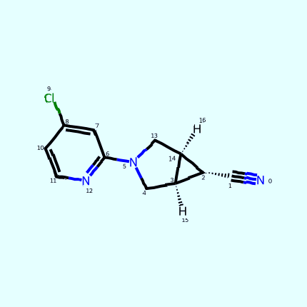 N#C[C@@H]1[C@H]2CN(c3cc(Cl)ccn3)C[C@@H]12